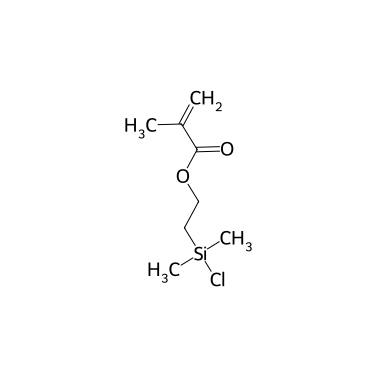 C=C(C)C(=O)OCC[Si](C)(C)Cl